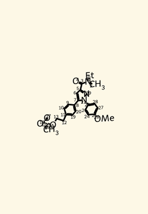 CCN(C)C(=O)c1cc(-c2ccc(CCOS(C)(=O)=O)cc2)n(-c2ccc(OC)cc2)n1